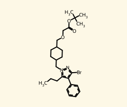 CCCc1c(-c2ccccc2)c(Br)nn1CC1CCC(COCC(=O)OC(C)(C)C)CC1